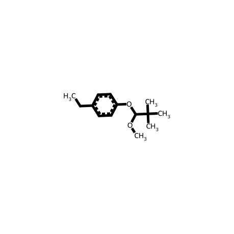 CCc1ccc(OC(OC)C(C)(C)C)cc1